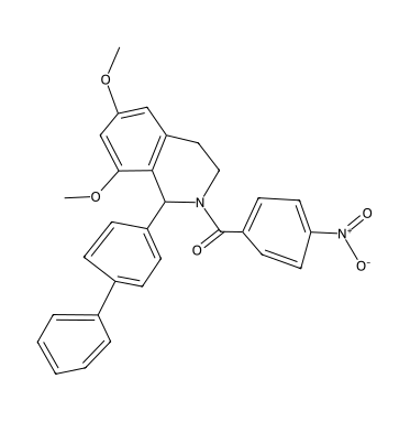 COc1cc2c(c(OC)c1)C(c1ccc(-c3ccccc3)cc1)N(C(=O)c1ccc([N+](=O)[O-])cc1)CC2